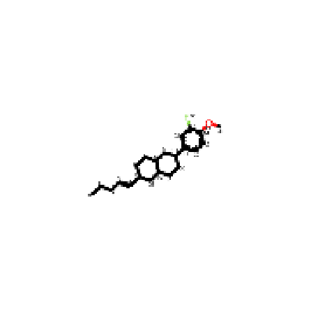 CCC/C=C/C1CCC2CC(c3ccc(OC)c(F)c3)CCC2C1